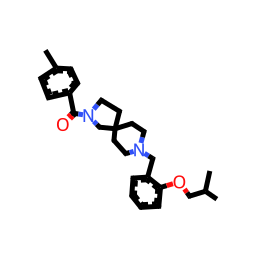 Cc1ccc(C(=O)N2CCC3(CCN(Cc4ccccc4OCC(C)C)CC3)C2)cc1